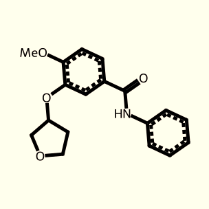 COc1ccc(C(=O)Nc2ccccc2)cc1OC1CCOC1